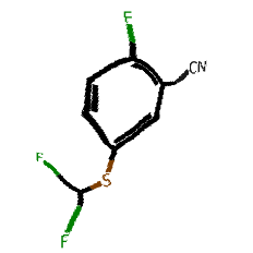 N#Cc1cc(SC(F)F)ccc1F